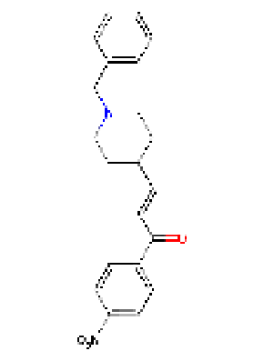 O=C(/C=C/C1CCN(Cc2ccccc2)CC1)c1ccc([N+](=O)[O-])cc1